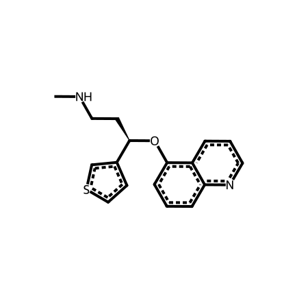 CNCC[C@@H](Oc1cccc2ncccc12)c1ccsc1